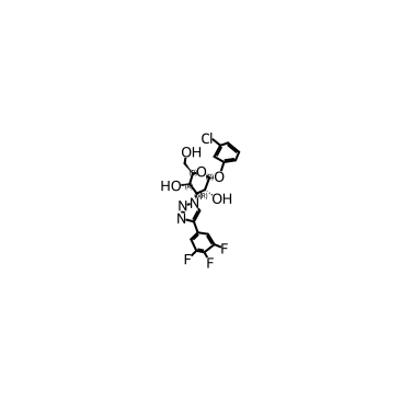 OC[C@H]1O[C@H](Oc2cccc(Cl)c2)[C@H](O)[C@@H](n2cc(-c3cc(F)c(F)c(F)c3)nn2)[C@H]1O